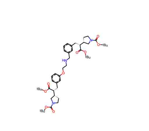 CC(C)(C)OC(=O)[C@H](Cc1cccc(CNCCOc2cccc(C[C@@H](C(=O)OC(C)(C)C)[C@@H]3CCN(C(=O)OC(C)(C)C)C3)c2)c1)[C@@H]1CCN(C(=O)OC(C)(C)C)C1